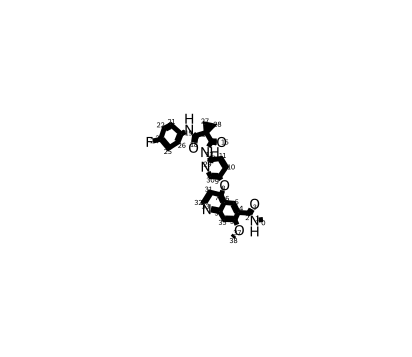 CNC(=O)c1cc2c(Oc3ccc(NC(=O)C4(C(=O)Nc5ccc(F)cc5)CC4)nc3)ccnc2cc1OC